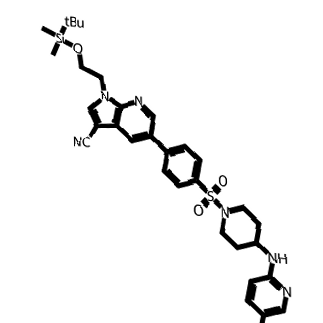 CC(C)(C)[Si](C)(C)OCCn1cc(C#N)c2cc(-c3ccc(S(=O)(=O)N4CCC(Nc5ccc(C(F)(F)F)cn5)CC4)cc3)cnc21